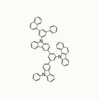 c1ccc(-c2cc(-c3cccc4ccccc34)cc(-n3c4ccccc4c4cc(-c5cc(-c6ccc7c(c6)c6ccccc6n7-c6ccccc6)cc(-n6c7ccccc7c7ccc8ccccc8c76)c5)ccc43)c2)cc1